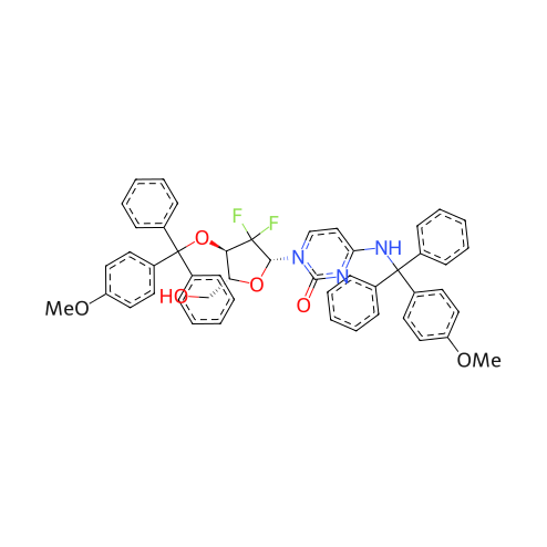 COc1ccc(C(Nc2ccn([C@@H]3O[C@H](CO)[C@@H](OC(c4ccccc4)(c4ccccc4)c4ccc(OC)cc4)C3(F)F)c(=O)n2)(c2ccccc2)c2ccccc2)cc1